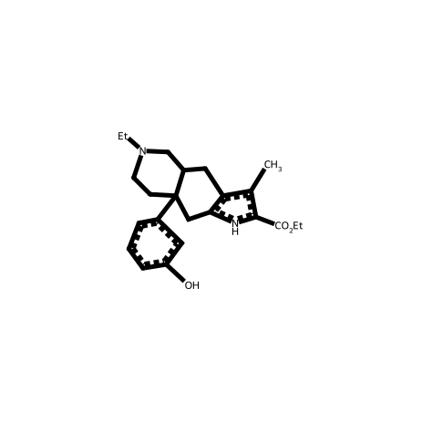 CCOC(=O)c1[nH]c2c(c1C)CC1CN(CC)CCC1(c1cccc(O)c1)C2